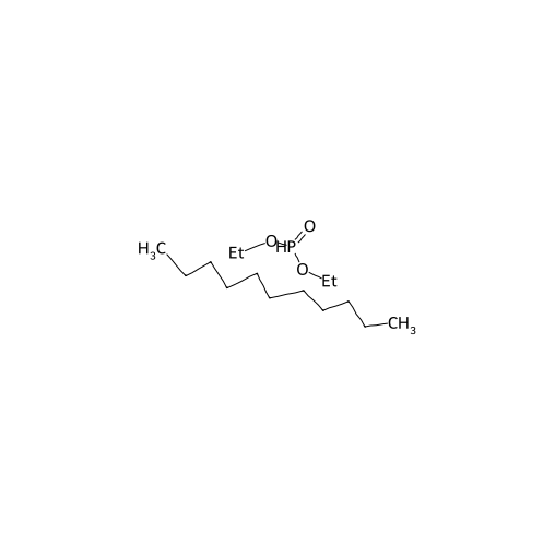 CCCCCCCCCCC.CCO[PH](=O)OCC